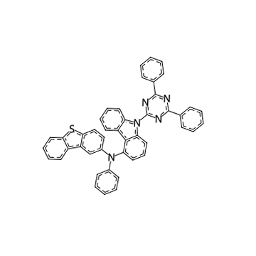 c1ccc(-c2nc(-c3ccccc3)nc(-n3c4ccccc4c4c(N(c5ccccc5)c5ccc6sc7ccccc7c6c5)cccc43)n2)cc1